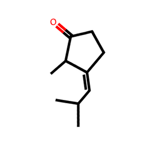 CC(C)/C=C1/CCC(=O)C1C